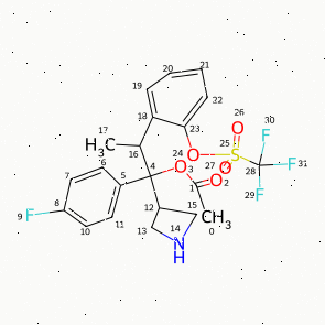 CC(=O)OC(c1ccc(F)cc1)(C1CNC1)C(C)c1ccccc1OS(=O)(=O)C(F)(F)F